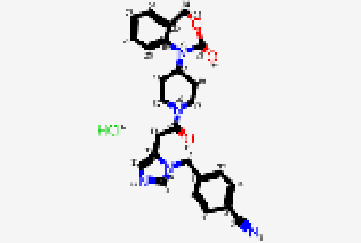 Cl.N#Cc1ccc(Cn2cncc2CC(=O)N2CCC(N3C(=O)OCc4ccccc43)CC2)cc1